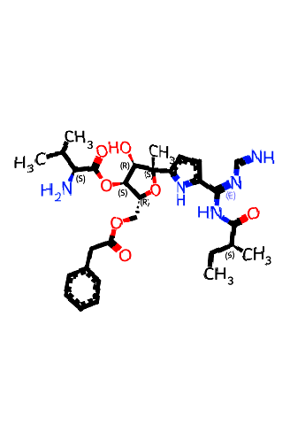 CC[C@H](C)C(=O)N/C(=N/C=N)c1ccc([C@]2(C)O[C@H](COC(=O)Cc3ccccc3)[C@@H](OC(=O)[C@@H](N)C(C)C)[C@H]2O)[nH]1